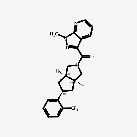 Cn1nc(C(=O)N2C[C@H]3C[C@@H](c4ccccc4C(F)(F)F)C[C@H]3C2)c2cccnc21